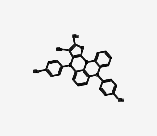 CC(C)(C)c1ccc(N2c3ccccc3B3c4oc(C(C)(C)C)c(C(C)(C)C)c4N(c4ccc(C(C)(C)C)cc4)c4cccc2c43)cc1